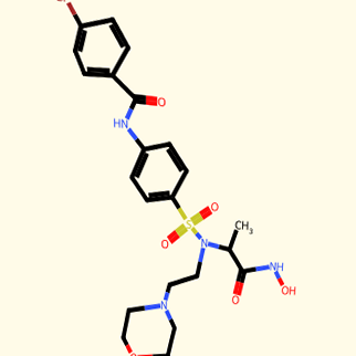 CC(C(=O)NO)N(CCN1CCOCC1)S(=O)(=O)c1ccc(NC(=O)c2ccc(Br)cc2)cc1